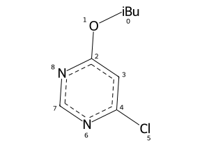 CCC(C)Oc1cc(Cl)ncn1